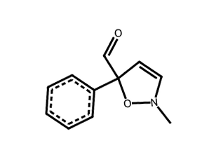 CN1C=CC(C=O)(c2ccccc2)O1